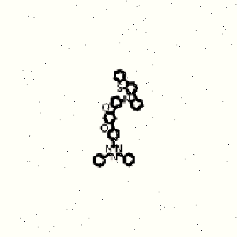 c1ccc(-c2nc(-c3ccccc3)nc(-c3ccc4c(c3)oc3cc5oc6ccc(-n7c8ccccc8c8ccc9c%10ccccc%10sc9c87)cc6c5cc34)n2)cc1